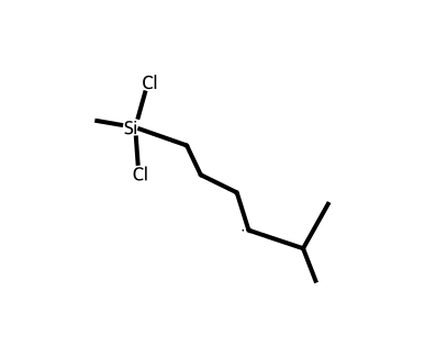 CC(C)[CH]CCC[Si](C)(Cl)Cl